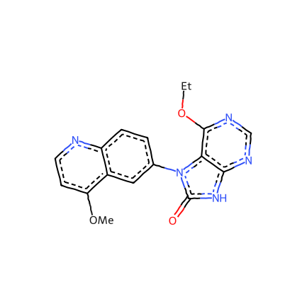 CCOc1ncnc2[nH]c(=O)n(-c3ccc4nccc(OC)c4c3)c12